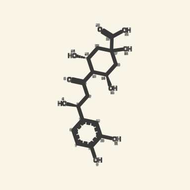 O=C(C[C@H](O)c1ccc(O)c(O)c1)C1[C@H](O)CC(O)(C(=O)O)C[C@H]1O